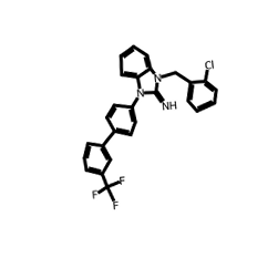 N=c1n(Cc2ccccc2Cl)c2ccccc2n1-c1ccc(-c2cccc(C(F)(F)F)c2)cc1